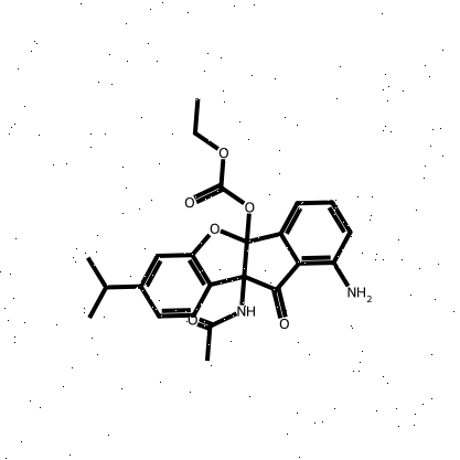 CCOC(=O)OC12Oc3cc(C(C)C)ccc3C1(NC(C)=O)C(=O)c1c(N)cccc12